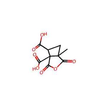 CC12CC(C(=O)O)C1(C(=O)O)C(=O)OC2=O